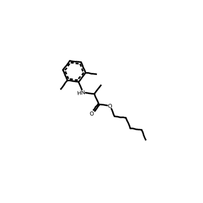 CCCCCOC(=O)C(C)Nc1c(C)cccc1C